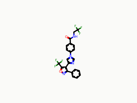 O=C(NCC(F)(F)F)c1ccc(-n2cnc(-c3c(-c4ccccc4)noc3C(F)(F)F)c2)cc1